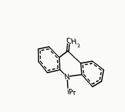 C=C1c2ccccc2N(C(C)C)c2ccccc21